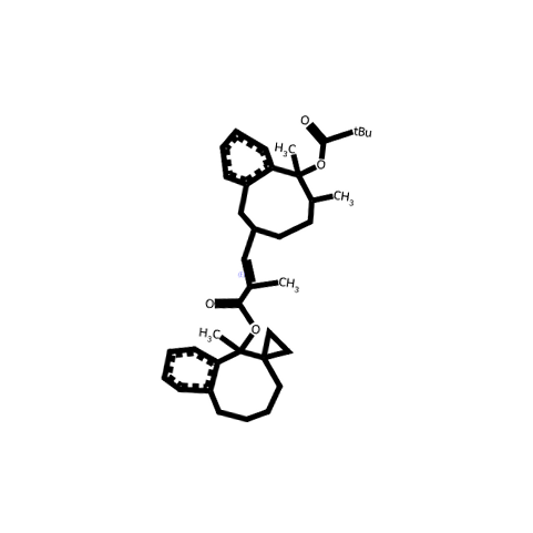 C/C(=C\C1CCC(C)C(C)(OC(=O)C(C)(C)C)c2ccccc2C1)C(=O)OC1(C)c2ccccc2CCCCC12CC2